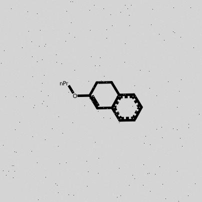 CCCOC1=Cc2ccccc2CC1